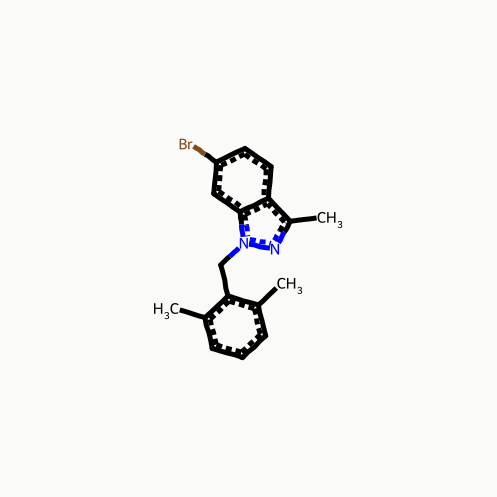 Cc1cccc(C)c1Cn1nc(C)c2ccc(Br)cc21